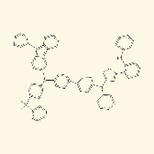 CC1(C)c2ccccc2-c2cc(N(c3ccc(C4=CC=C(N(C5=CCC(c6ccccc6Nc6ccccc6)=C5)c5ccccc5)CC4)cc3)c3ccc4c(c3)c3ccccc3n4-c3ccccc3)ccc21